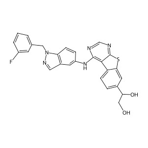 OCC(O)c1ccc2c(c1)sc1ncnc(Nc3ccc4c(cnn4Cc4cccc(F)c4)c3)c12